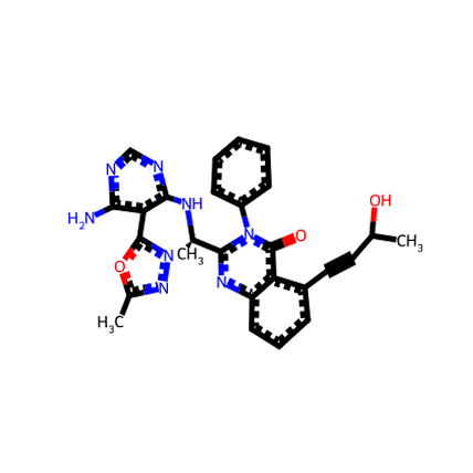 Cc1nnc(-c2c(N)ncnc2N[C@@H](C)c2nc3cccc(C#CC(C)O)c3c(=O)n2-c2ccccc2)o1